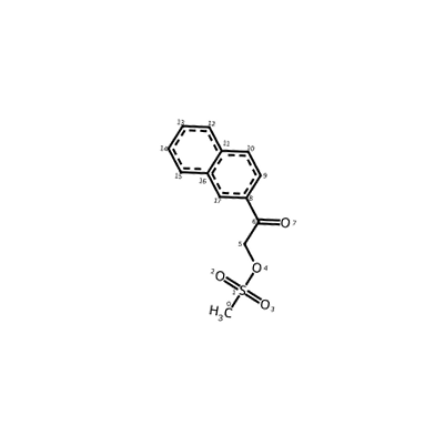 CS(=O)(=O)OCC(=O)c1ccc2ccccc2c1